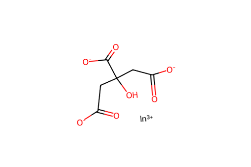 O=C([O-])CC(O)(CC(=O)[O-])C(=O)[O-].[In+3]